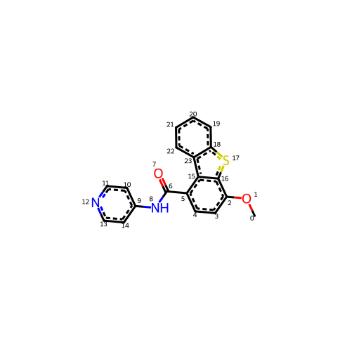 COc1ccc(C(=O)Nc2ccncc2)c2c1sc1ccccc12